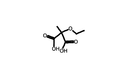 CCOC(C)(C(=O)O)C(=O)O